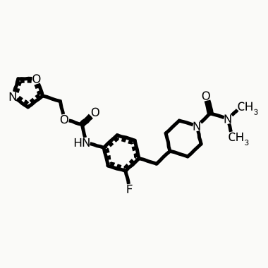 CN(C)C(=O)N1CCC(Cc2ccc(NC(=O)OCc3cnco3)cc2F)CC1